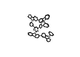 FC(F)(F)c1cccc(-c2cc(-c3cccc(-n4c5ccccc5c5ccc(-c6ccc7c(c6)c6ccccc6n7-c6ccccc6)cc54)c3)nc(-n3c4ccccc4c4ccc(-c5ccc6c(c5)c5ccccc5n6-c5ccccc5)cc43)n2)c1